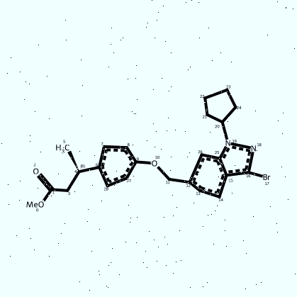 COC(=O)C[C@@H](C)c1ccc(OCc2ccc3c(Br)nn(C4CCCC4)c3c2)cc1